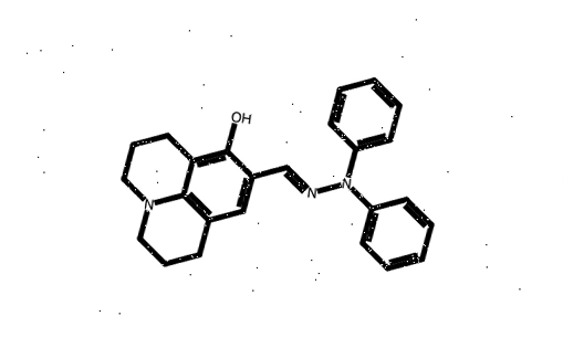 Oc1c(C=NN(c2ccccc2)c2ccccc2)cc2c3c1CCCN3CCC2